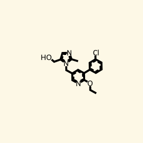 CCOc1ncc(Cn2c(CO)cnc2C)cc1-c1cccc(Cl)c1